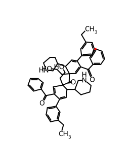 CCc1cccc(C2=CC(C3CCCNC3)C(CCO)(C(=O)C3(CCO)C=C(C(=O)c4ccccc4)C(c4cccc(CC)c4)=CC3C3CCCNC3)C=C2C(=O)c2ccccc2)c1